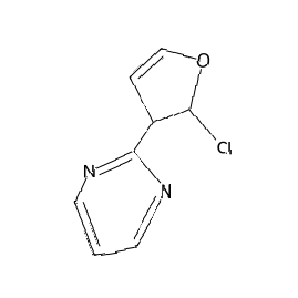 ClC1OC=CC1c1ncccn1